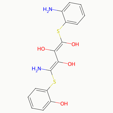 N/C(Sc1ccccc1O)=C(O)\C(O)=C(/O)Sc1ccccc1N